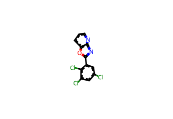 Clc1cc(Cl)c(Cl)c(-c2nc3ncccc3o2)c1